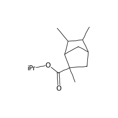 CC(C)OC(=O)C1(C)CC2CC1C(C)C2C